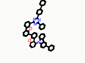 C1=CC2Oc3c(-c4cccc5c4oc4c(-c6nc(-c7ccccc7)nc(-c7ccc(-c8ccccc8)cc7)n6)cccc45)cccc3C2C(n2c3ccccc3c3cc(-c4ccccc4)ccc32)=C1